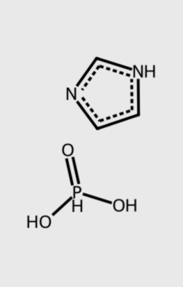 O=[PH](O)O.c1c[nH]cn1